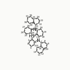 c1ccc2c(c1)N(c1cccc3ccccc13)c1cccc3c1[SH]2c1ccccc1N3c1cccc2ccccc12